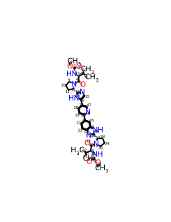 COC(=O)N[C@H](C(=O)N1CCC[C@H]1c1ncc(-c2ccc(-c3ccc4nc([C@@H]5CCCN5C(=O)[C@@H](NC(=O)OC)C(C)C)[nH]c4c3)nc2)[nH]1)C(C)C